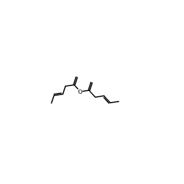 C=C(C/C=C/C)OC(=C)C/C=C/C